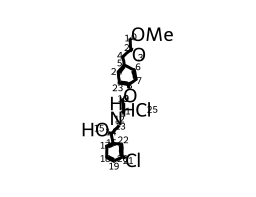 COCC(=O)Cc1ccc(OCCNCC(O)c2cccc(Cl)c2)cc1.Cl